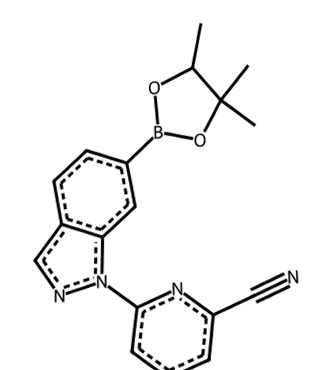 CC1OB(c2ccc3cnn(-c4cccc(C#N)n4)c3c2)OC1(C)C